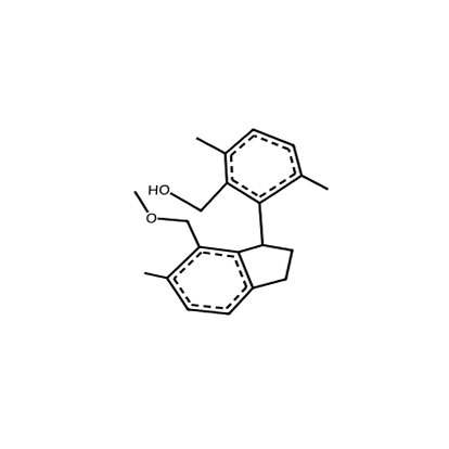 COCc1c(C)ccc2c1C(c1c(C)ccc(C)c1CO)CC2